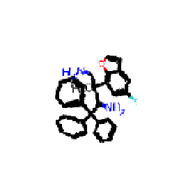 CC(CN)(c1cc(F)cc2ccoc12)C(N)C(c1ccccc1)(c1ccccc1)c1ccccc1